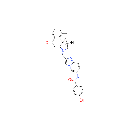 Cc1cccc2c1C13C[C@@H]1CN(Cc1cn4cc(NC(=O)c5ccc(O)cc5)ccc4n1)C3=CC2=O